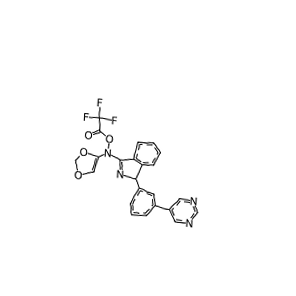 O=C(ON(C1=COCO1)C1=NC(c2cccc(-c3cncnc3)c2)c2ccccc21)C(F)(F)F